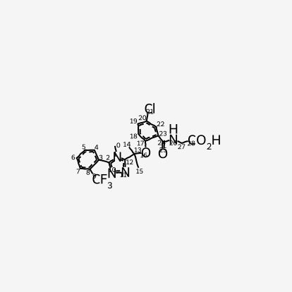 Cn1c(-c2ccccc2C(F)(F)F)nnc1C(C)(C)Oc1ccc(Cl)cc1C(=O)NCC(=O)O